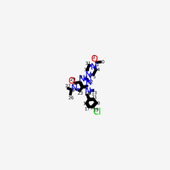 CC(=O)N1CCN(c2nc3c(c(N(C)Cc4ccc(Cl)cc4)n2)CN(C(C)C)C3=O)CC1